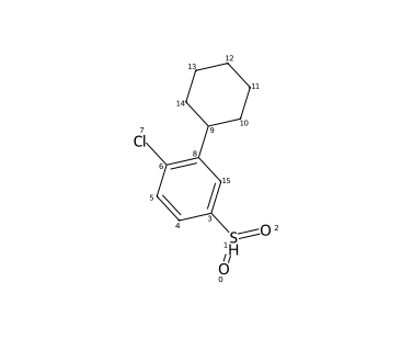 O=[SH](=O)c1ccc(Cl)c(C2CCCCC2)c1